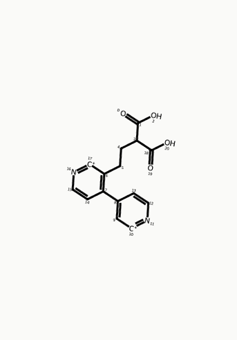 O=C(O)C(CCC1=C(C2=C[C+]=NC=C2)C=CN=[C+]1)C(=O)O